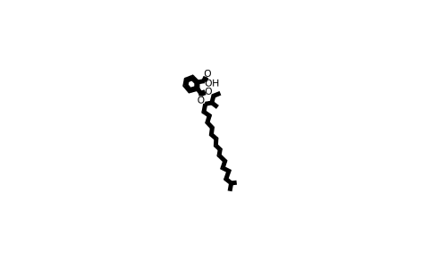 CCC(C)C(CCCCCCCCCCCCCC(C)C)OC(=O)c1ccccc1C(=O)O